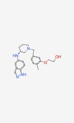 Cc1ccc(CN2CCC[C@H](Nc3ccc4[nH]ncc4c3)C2)cc1OCCO